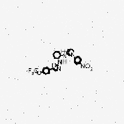 O=[N+]([O-])c1ccc(N2CC3CCC2[C@@H](N[C@@H]2CCCC[C@H]2Nc2ncc(-c4ccc(OC(F)(F)F)cc4)o2)C3)cc1